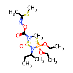 CCOP(=S)(OCC)N(C(C)CC)[S+]([O-])N(C)C(=O)ON=C(C)SC